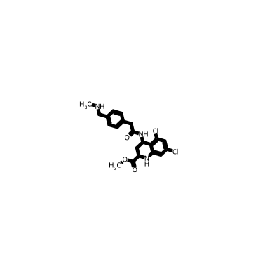 CNCc1ccc(CC(=O)NC2CC(C(=O)OC)Nc3cc(Cl)cc(Cl)c32)cc1